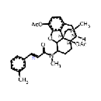 CC(=O)Oc1ccc2c3c1OC1C(N(C)C(=O)/C=C/c4cccc(C)c4)CC[C@@]4(OC(C)=O)[C@@H](C2)N(C)CC[C@]314